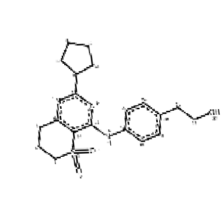 O=S1(=O)CCCc2nc(C3CCCC3)nc(Nc3ccc(CCO)cc3)c21